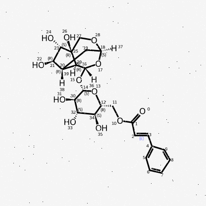 O=C(/C=C/c1ccccc1)OC[C@H]1O[C@@H](O[C@H]2O[C@H]3C[C@H]4[C@@H](O)[C@H](O)[C@](O)(CO3)[C@@H]24)[C@H](O)[C@@H](O)[C@@H]1O